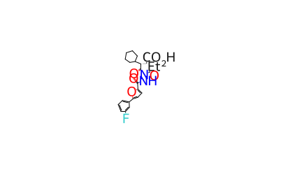 CCC(=O)N(NC(=O)c1ccc(-c2cccc(F)c2)o1)C(=O)[C@@H](CC(=O)O)C1CCCCC1